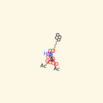 CC(=O)CCC(=O)OC[C@H]1O[C@@H](n2cc(COCCCCCCc3ccc4ccc5cccc6ccc3c4c56)c(=O)[nH]c2=O)C[C@@H]1OC(=O)CCC(C)=O